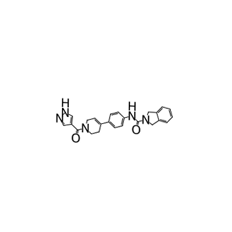 O=C(Nc1ccc(C2=CCN(C(=O)c3cn[nH]c3)CC2)cc1)N1Cc2ccccc2C1